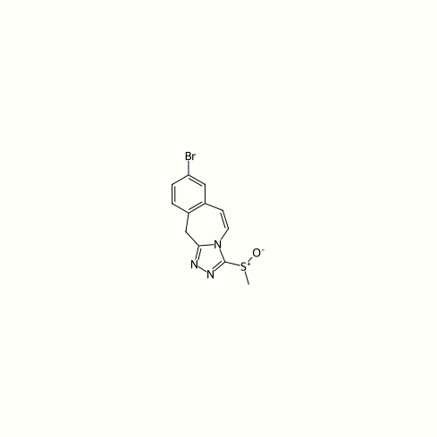 C[S+]([O-])c1nnc2n1C=Cc1cc(Br)ccc1C2